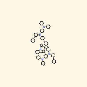 C1=C2C(=CC(c3ccc(N(c4ccc(N(c5ccccc5)c5ccccc5)cc4)c4cccc(-c5ccccc5)c4)cc3)C1)C1(C3=C2CCC(N(C2=CC(c4ccccc4)=CCC2)c2ccc(N(c4ccccc4)c4ccccc4)cc2)=C3)c2ccccc2-n2c3ccccc3c3cccc1c32